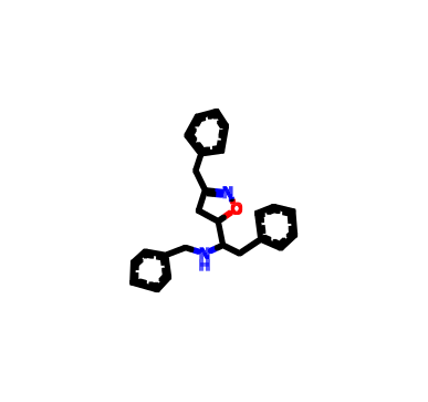 c1ccc(CNC(Cc2ccccc2)C2CC(Cc3ccccc3)=NO2)cc1